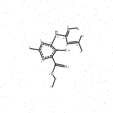 CCOC(=O)c1nc(C)nc(N/C(C=C(C)C)=N/C)c1F